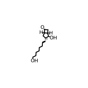 O=C1C[C@H]2C(O)[C@H](C=CCCCCCCO)C[C@H]12